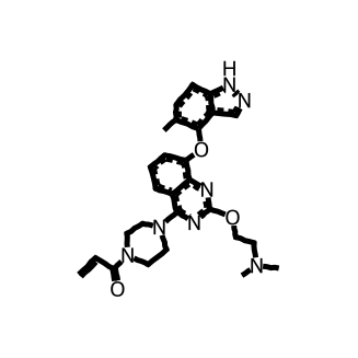 C=CC(=O)N1CCN(c2nc(OCCN(C)C)nc3c(Oc4c(C)ccc5[nH]ncc45)cccc23)CC1